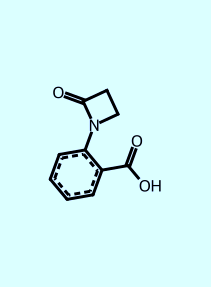 O=C(O)c1ccccc1N1CCC1=O